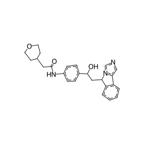 O=C(CC1CCOCC1)Nc1ccc(C(O)CC2c3ccccc3-c3cncn32)cc1